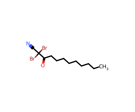 CCCCCCCCCC(=O)C(Br)(Br)C#N